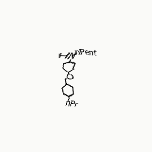 CCCCCNC1CCC(OCC2CCC(CCC)CC2)CC1